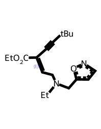 CCOC(=O)/C(C#CC(C)(C)C)=C/CN(CC)Cc1ccno1